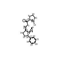 C=NN1/C(=N\CC(=O)C2CCCN2C)CCC1c1ccccc1